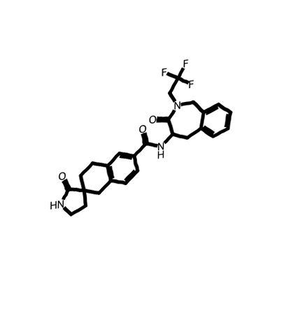 O=C(NC1Cc2ccccc2CN(CC(F)(F)F)C1=O)c1ccc2c(c1)CCC1(CCNC1=O)C2